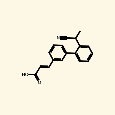 CC(C#N)c1ccccc1-c1cccc(C=CC(=O)O)c1